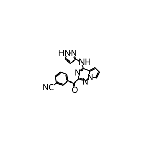 N#Cc1cccc(C(=O)c2nc(Nc3cc[nH]n3)c3cccn3n2)c1